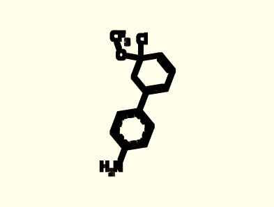 Nc1ccc(C2=CC=CC(Cl)(OC(F)(F)F)C2)cc1